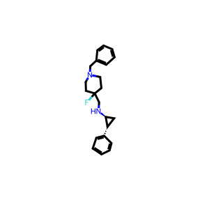 FC1(CN[C@H]2C[C@@H]2c2ccccc2)CCN(Cc2ccccc2)CC1